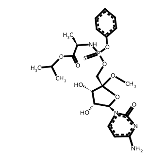 CO[C@]1(COP(=S)(N[C@H](C)C(=O)OC(C)C)Oc2ccccc2)O[C@@H](n2ccc(N)nc2=O)[C@H](O)[C@@H]1O